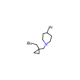 CCC(C)CC1(CN2CCC(C(C)C)CC2)CC1